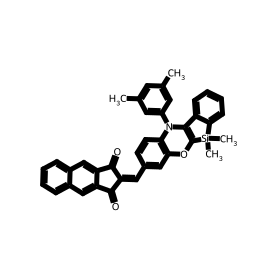 Cc1cc(C)cc(N2C3=C(Oc4cc(C=C5C(=O)c6cc7ccccc7cc6C5=O)ccc42)[Si](C)(C)c2ccccc23)c1